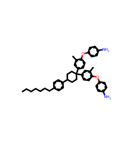 CCCCCCCc1ccc(C2CCC(c3ccc(Oc4ccc(N)cc4)c(C)c3)(c3ccc(Oc4ccc(N)cc4)c(C)c3)CC2)cc1